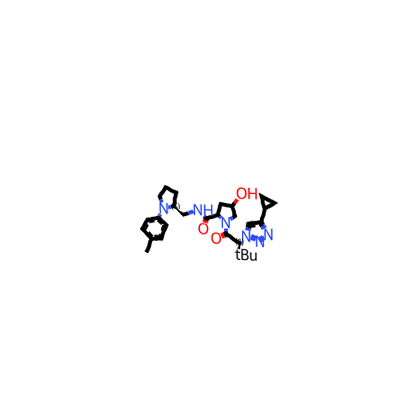 Cc1ccc(N2CCC[C@H]2CNC(=O)C2CC(O)CN2C(=O)[C@@H](n2cc(C3CC3)nn2)C(C)(C)C)cc1